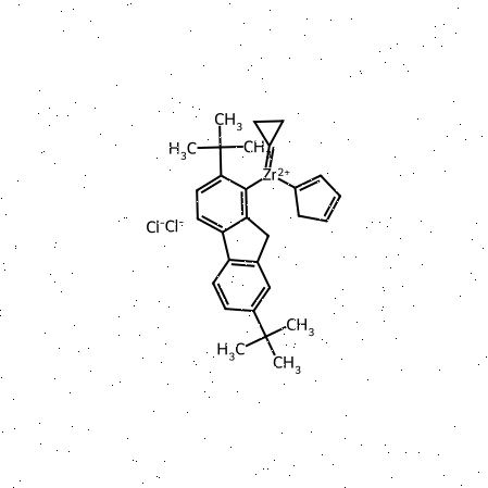 CC(C)(C)c1ccc2c(c1)Cc1c-2ccc(C(C)(C)C)[c]1[Zr+2]([C]1=CC=CC1)=[C]1CC1.[Cl-].[Cl-]